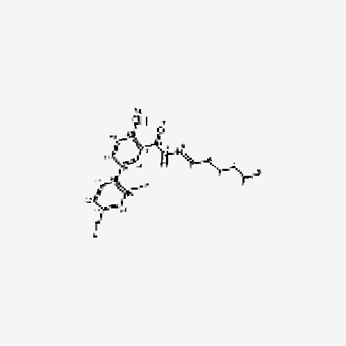 CCCCCC=NNC(=O)c1cc(-c2ccc(F)cc2F)ccc1O